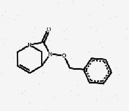 O=C1N2CC=CC(C2)N1OCc1ccccc1